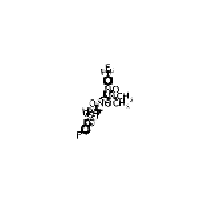 CC(C)n1c(=O)c(CNC(=O)C2(NS(=O)(=O)c3cc4cc(F)ccc4o3)CC2)cn(-c2ccc(C(F)(F)F)cc2)c1=O